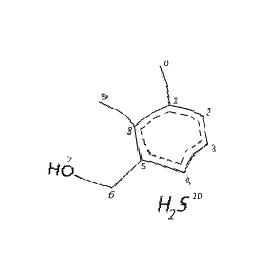 Cc1cccc(CO)c1C.S